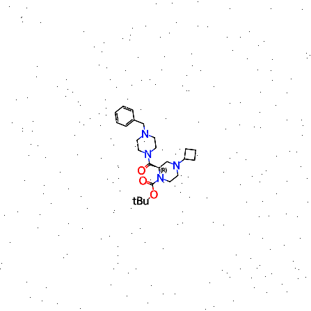 CC(C)(C)OC(=O)N1CCN(C2CCC2)C[C@@H]1C(=O)N1CCN(Cc2ccccc2)CC1